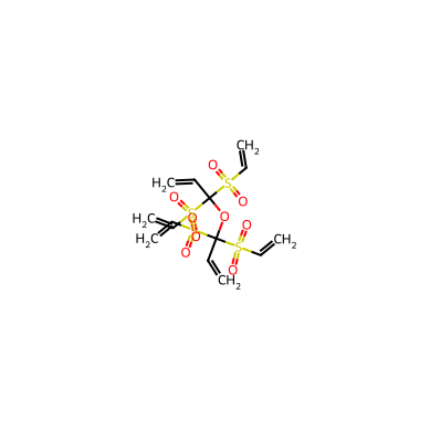 C=CC(OC(C=C)(S(=O)(=O)C=C)S(=O)(=O)C=C)(S(=O)(=O)C=C)S(=O)(=O)C=C